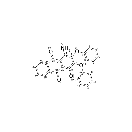 Nc1c(Oc2ccccc2)c(Oc2ccccc2)c(O)c2c1C(=O)c1ccccc1C2=O